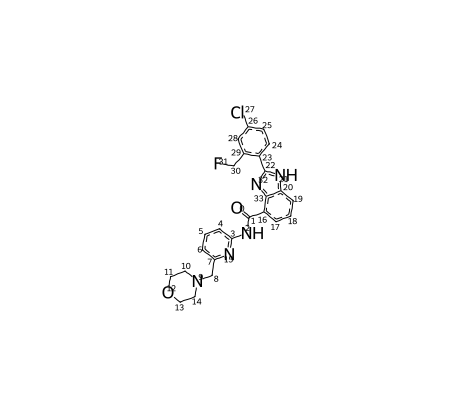 O=C(Nc1cccc(CN2CCOCC2)n1)c1cccc2[nH]c(-c3ccc(Cl)cc3CF)nc12